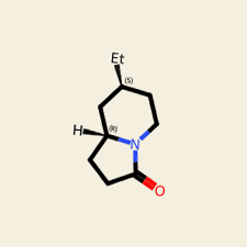 CC[C@H]1CCN2C(=O)CC[C@@H]2C1